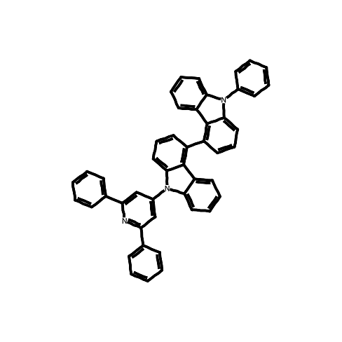 c1ccc(-c2cc(-n3c4ccccc4c4c(-c5cccc6c5c5ccccc5n6-c5ccccc5)cccc43)cc(-c3ccccc3)n2)cc1